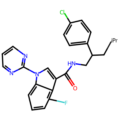 CC(C)CC(CNC(=O)c1cn(-c2ncccn2)c2cccc(F)c12)c1ccc(Cl)cc1